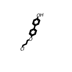 Oc1ccc(-c2ccc(OCCCCl)cc2)cc1